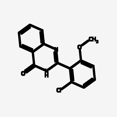 COc1cccc(Cl)c1-c1nc2ccccc2c(=O)[nH]1